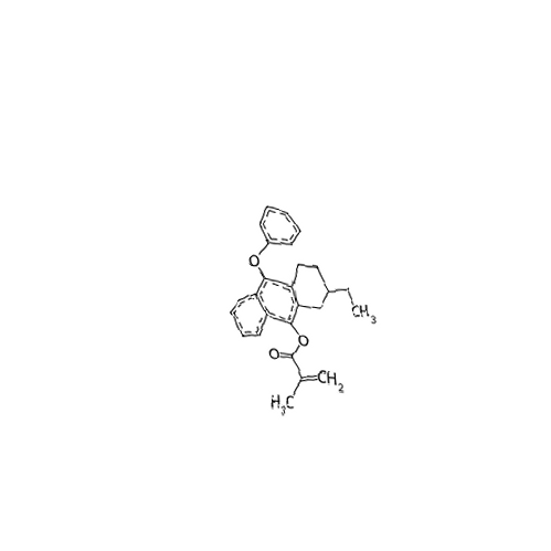 C=C(C)C(=O)Oc1c2c(c(Oc3ccccc3)c3ccccc13)CCC(CC)C2